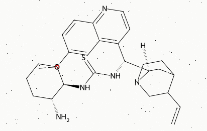 C=CC1CN2CCC1C[C@@H]2[C@H](NC(=S)N[C@@H]1CCCC[C@H]1N)c1ccnc2ccc(OC)cc12